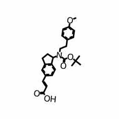 COc1ccc(CCN(C(=O)OC(C)(C)C)C2CCc3cc(/C=C/C(=O)O)ccc32)cc1